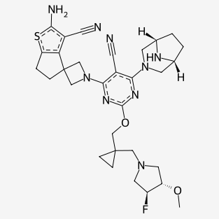 CO[C@H]1CN(CC2(COc3nc(N4C[C@H]5CC[C@@H](C4)N5)c(C#N)c(N4CC5(CCc6sc(N)c(C#N)c65)C4)n3)CC2)C[C@@H]1F